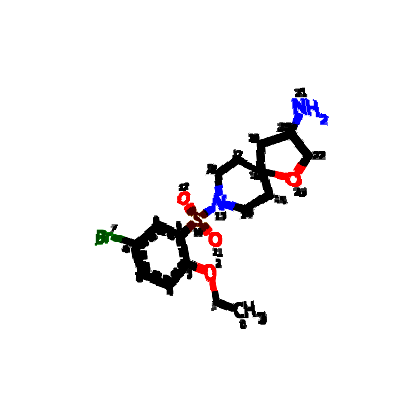 CCOc1ccc(Br)cc1S(=O)(=O)N1CCC2(CC1)C[C@@H](N)CO2